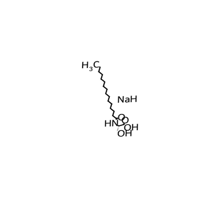 CCCCCCCCCCCCCCCC(=O)N[C@@H](CO)C(=O)O.[NaH]